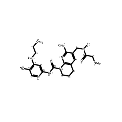 CCN(Cc1cc2c(nc1C=O)N(C(=O)Nc1cc(NCCOC)c(C#N)cn1)CCC2)C(=O)CNC